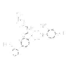 Cc1sccc1-c1ccc(C2(C(=O)N[C@H]3CCN(C)C3)CCN(c3ccc(C(F)(F)F)cc3C#N)CC2)cn1